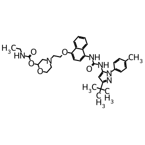 CCNC(=O)OC1CN(CCOc2ccc(NC(=O)Nc3cc(C(C)(C)C)nn3-c3ccc(C)cc3)c3ccccc23)CCO1